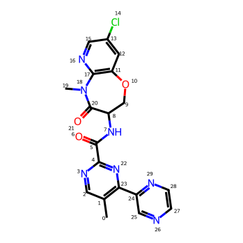 Cc1cnc(C(=O)NC2COc3cc(Cl)cnc3N(C)C2=O)nc1-c1cnccn1